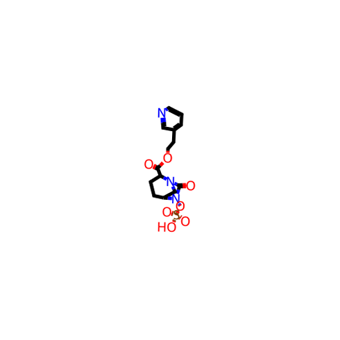 O=C(OCCc1cccnc1)C1CCC2CN1C(=O)N2OS(=O)(=O)O